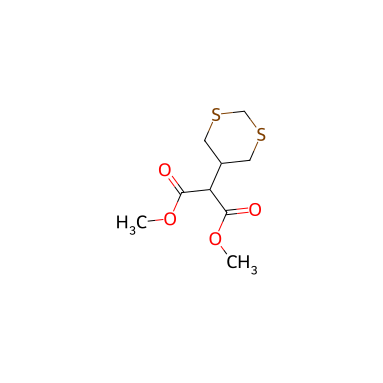 COC(=O)C(C(=O)OC)C1CSCSC1